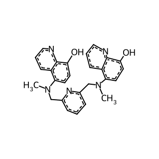 CN(Cc1cccc(CN(C)c2ccc(O)c3ncccc23)n1)c1ccc(O)c2ncccc12